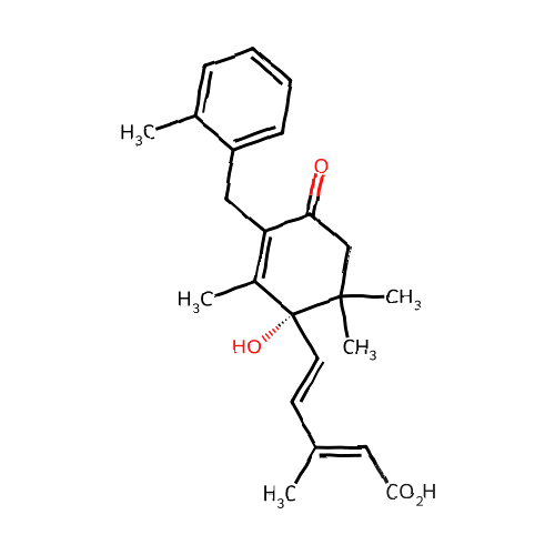 CC(C=C[C@@]1(O)C(C)=C(Cc2ccccc2C)C(=O)CC1(C)C)=CC(=O)O